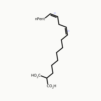 CCCCC/C=C\C/C=C\CCCCCCC(C(=O)O)C(=O)O